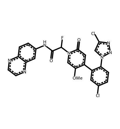 COc1cn(C(F)C(=O)Nc2ccc3nccnc3c2)c(=O)cc1-c1cc(Cl)ccc1-n1cc(Cl)nn1